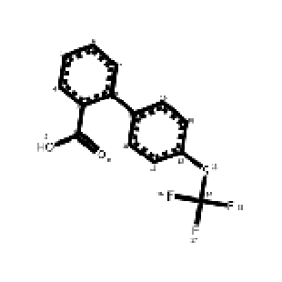 O=C(O)c1ccccc1-c1ccc(SC(F)(F)F)cc1